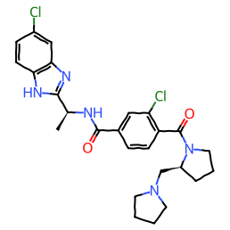 C[C@H](NC(=O)c1ccc(C(=O)N2CCC[C@H]2CN2CCCC2)c(Cl)c1)c1nc2cc(Cl)ccc2[nH]1